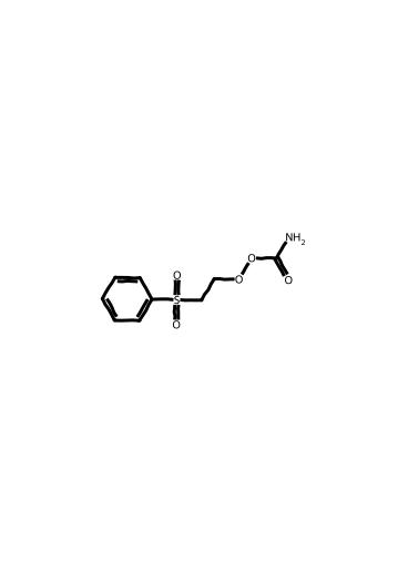 NC(=O)OOCCS(=O)(=O)c1ccccc1